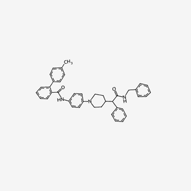 Cc1ccc(-c2ccccc2C(=O)Nc2ccc(N3CCC(C(C(=O)NCc4ccccc4)c4ccccc4)CC3)cc2)cc1